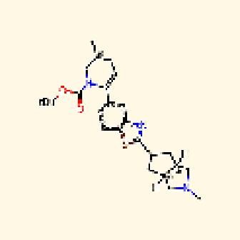 C[C@H]1CC=C(c2ccc3sc(C4C[C@@H]5CN(C)C[C@@H]5C4)nc3c2)N(C(=O)OC(C)(C)C)C1